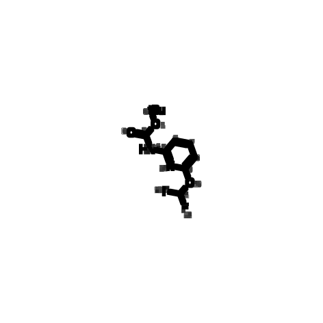 CC(C)(C)OC(=O)Nc1cccc(OC(F)F)n1